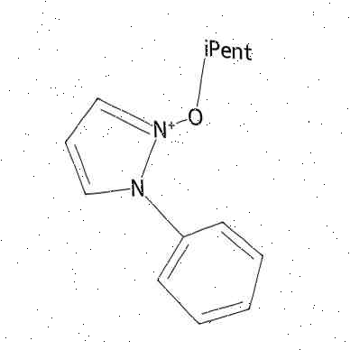 CCCC(C)O[n+]1cccn1-c1ccccc1